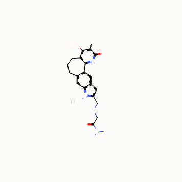 CN(C)C(=O)CNCc1cc2cc3c(cc2n1C)CCCc1c-3[nH]c(=O)c(C(=O)O)c1O